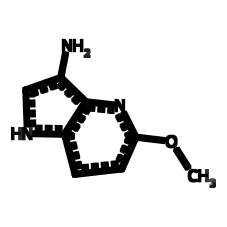 COc1ccc2[nH]cc(N)c2n1